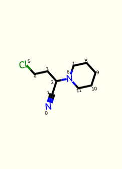 N#CC(CCCl)N1CCCCC1